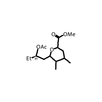 CC[C@H](CC1OC(C(=O)OC)CC(C)C1C)OC(C)=O